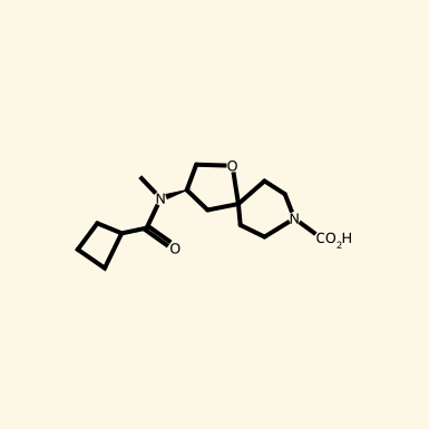 CN(C(=O)C1CCC1)[C@H]1COC2(CCN(C(=O)O)CC2)C1